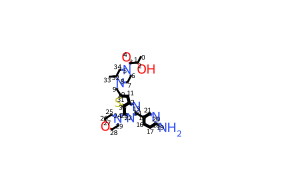 CC(O)C(=O)N1CCN(Cc2cc3nc(-c4ccc(N)nc4)nc(N4CCOCC4)c3s2)C(C)C1